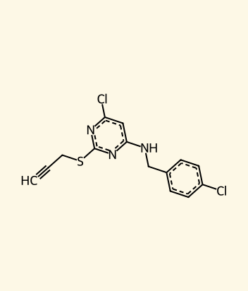 C#CCSc1nc(Cl)cc(NCc2ccc(Cl)cc2)n1